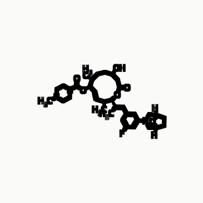 C/C(=C\c1cc(F)cc(N2C[C@H]3CC[C@@H](C2)O3)c1)[C@H]1OC(=O)C[C@H](O)CC[C@H](C)[C@H](OC(=O)N2CCN(C)CC2)/C=C/[C@@H]1C